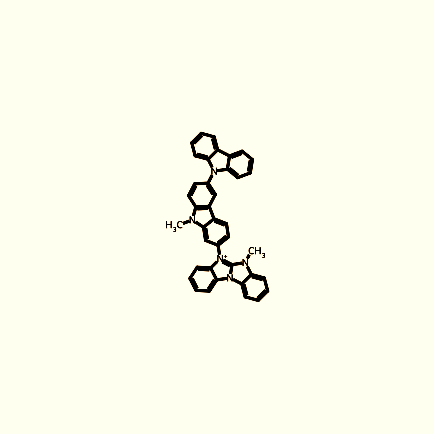 Cn1c2ccc(-n3c4ccccc4c4ccccc43)cc2c2ccc(-[n+]3c4ccccc4n4c5ccccc5n(C)c43)cc21